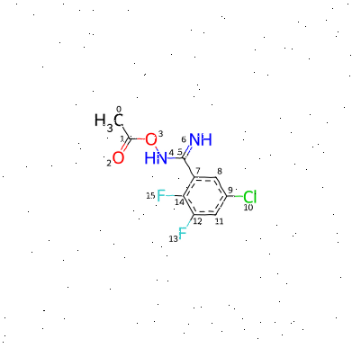 CC(=O)ONC(=N)c1cc(Cl)cc(F)c1F